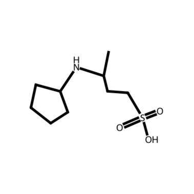 CC(CCS(=O)(=O)O)NC1CCCC1